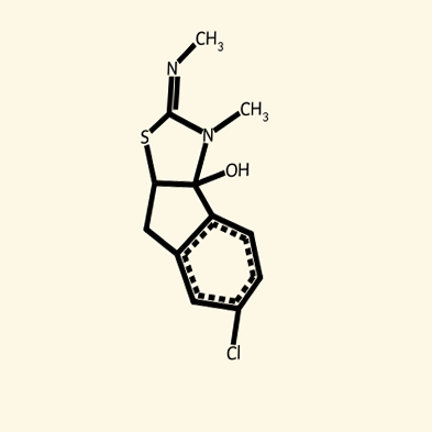 CN=C1SC2Cc3cc(Cl)ccc3C2(O)N1C